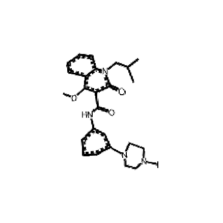 COc1c(C(=O)Nc2cccc(N3CCN(I)CC3)c2)c(=O)n(CC(C)C)c2ccccc12